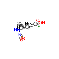 C=C(C)[C@@H]1CC[C@]2(NCCN3CC(C)S(=O)(=O)C(C)C3)CC[C@]3(C)[C@H](CC[C@@H]4[C@@]5(C)CC=C(C6=CC[C@](CF)(C(=O)O)CC6)C(C)(C)[C@@H]5CC[C@]43C)[C@@H]12